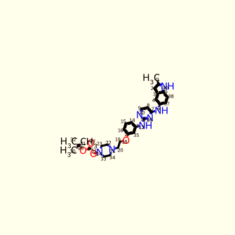 Cc1cc2cc(Nc3ccnc(Nc4cccc(OCCN5CCN(OC(=O)OC(C)(C)C)CC5)c4)n3)ccc2[nH]1